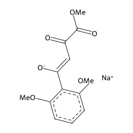 COC(=O)C(=O)C=C([O-])c1c(OC)cccc1OC.[Na+]